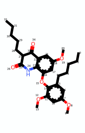 CCCCCc1cc(OC)cc(OC)c1Oc1cc(OC)cc2c1NC(=O)C(CCCCC)C2=O